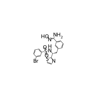 NC(=NO)c1cccc(C[C@H](NS(=O)(=O)c2cccc(Br)c2)c2nccs2)c1